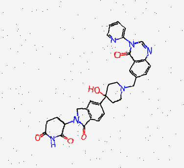 O=C1CCC(N2Cc3cc(C4(O)CCN(Cc5ccc6ncn(-c7ccccn7)c(=O)c6c5)CC4)ccc3C2=O)C(=O)N1